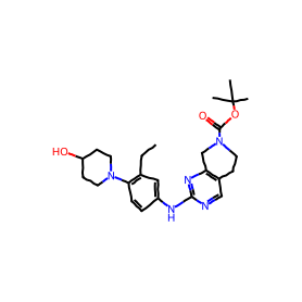 CCc1cc(Nc2ncc3c(n2)CN(C(=O)OC(C)(C)C)CC3)ccc1N1CCC(O)CC1